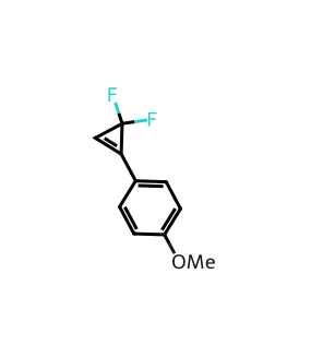 COc1ccc(C2=CC2(F)F)cc1